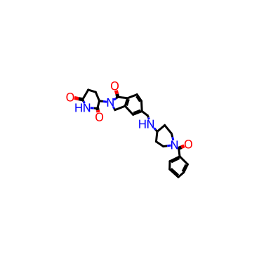 O=C1CCC(N2Cc3cc(CNC4CCN(C(=O)c5ccccc5)CC4)ccc3C2=O)C(=O)N1